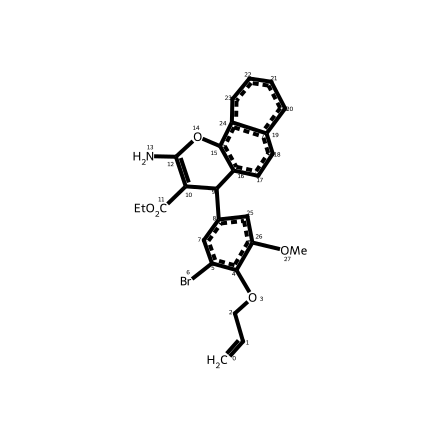 C=CCOc1c(Br)cc(C2C(C(=O)OCC)=C(N)Oc3c2ccc2ccccc32)cc1OC